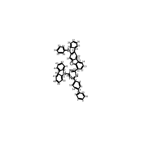 c1ccc(-c2ccc(-c3nc(-c4cccc5c4oc4cc6c(cc45)c4ccccc4n6-c4ccccc4)nc(-n4c5ccccc5c5ccccc54)n3)cc2)cc1